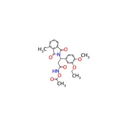 CCOc1cc(C(CC(=O)NOC(C)=O)N2C(=O)c3cccc(C)c3C2=O)ccc1OC